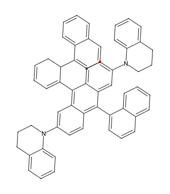 C1=CCC(c2cccc3ccccc23)C(c2c3cc(N4CCCc5ccccc54)ccc3c(-c3cccc4ccccc34)c3cc(N4CCCc5ccccc54)ccc23)=C1